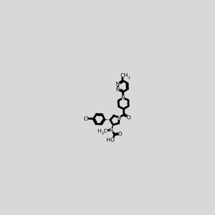 Cc1ccc(N2CCC(C(=O)N3C[C@@H](N(C)C(=O)O)[C@H](c4ccc(Cl)cc4)C3)CC2)nn1